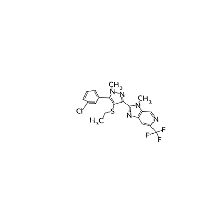 CCSc1c(-c2nc3cc(C(F)(F)F)ncc3n2C)nn(C)c1-c1cccc(Cl)c1